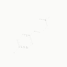 C[C@H](OCc1ccc(Br)cc1)C(=O)Cl